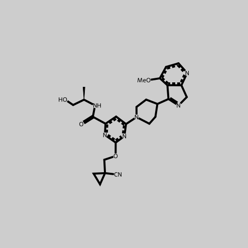 COc1ccnc2c1C(C1CCN(c3cc(C(=O)N[C@H](C)CO)nc(OCC4(C#N)CC4)n3)CC1)=NC2